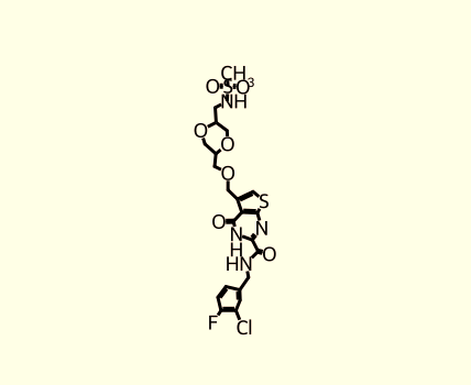 CS(=O)(=O)NCC1COC(COCc2csc3nc(C(=O)NCc4ccc(F)c(Cl)c4)[nH]c(=O)c23)CO1